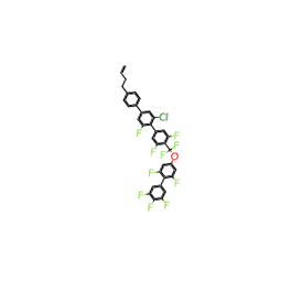 C=CCCc1ccc(-c2cc(F)c(-c3cc(F)c(C(F)(F)Oc4cc(F)c(-c5cc(F)c(F)c(F)c5)c(F)c4)c(F)c3)c(Cl)c2)cc1